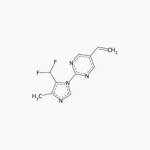 C=Cc1cnc(-n2cnc(C)c2C(F)F)nc1